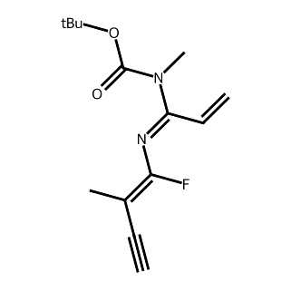 C#C/C(C)=C(F)/N=C(\C=C)N(C)C(=O)OC(C)(C)C